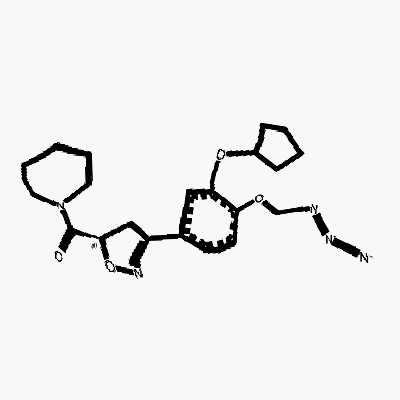 [N-]=[N+]=NCOc1ccc(C2=NO[C@@H](C(=O)N3CCCCC3)C2)cc1OC1CCCC1